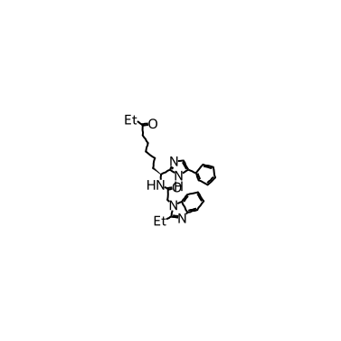 CCC(=O)CCCCC[C@H](NC(=O)Cn1c(CC)nc2ccccc21)c1ncc(-c2ccccc2)[nH]1